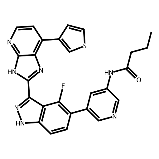 CCCC(=O)Nc1cncc(-c2ccc3[nH]nc(-c4nc5c(-c6ccsc6)ccnc5[nH]4)c3c2F)c1